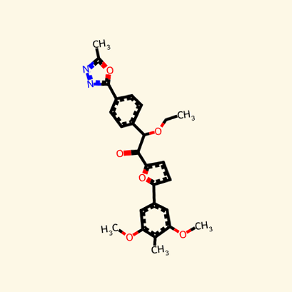 CCOC(C(=O)c1ccc(-c2cc(OC)c(C)c(OC)c2)o1)c1ccc(-c2nnc(C)o2)cc1